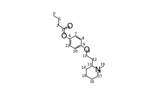 CCCC(=O)Oc1ccc(OCCC2CCCCN2C)cc1